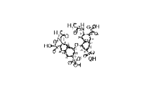 CC(=O)Nc1cc2c(Oc3cc(S(=O)(=O)O)cc4cc(S(=O)(=O)O)c(NC(C)=O)cc34)cc(S(=O)(=O)O)cc2cc1S(=O)(=O)O